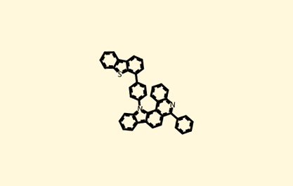 c1ccc(-c2nc3ccccc3c3c2ccc2c4ccccc4n(-c4ccc(-c5cccc6c5sc5ccccc56)cc4)c23)cc1